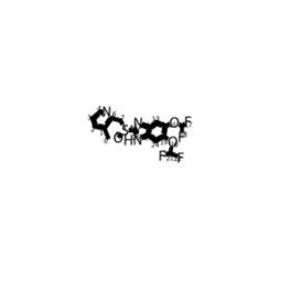 Cc1cccnc1C[S+]([O-])c1nc2cc(OC(F)F)c(OC(F)F)cc2[nH]1